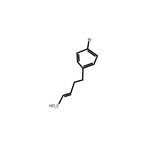 O=C(O)/C=C/CCc1ccc(Br)cc1